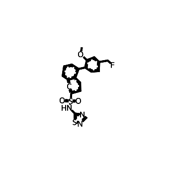 COc1cc(CF)ccc1-c1cccc2cc(S(=O)(=O)Nc3ncns3)ccc12